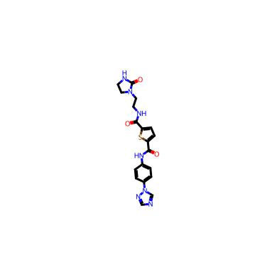 O=C(NCCN1CCNC1=O)c1ccc(C(=O)Nc2ccc(-n3cncn3)cc2)s1